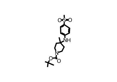 CC1(Nc2ccc(S(C)(=O)=O)cc2)CCN(C(=O)OC(C)(C)C)CC1